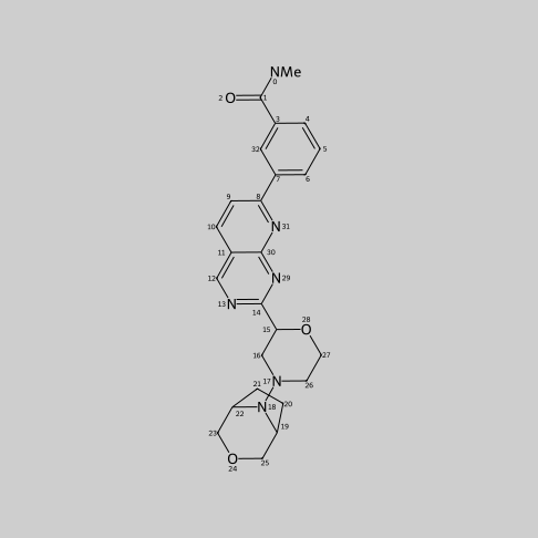 CNC(=O)c1cccc(-c2ccc3cnc(C4CN(N5C6CCC5COC6)CCO4)nc3n2)c1